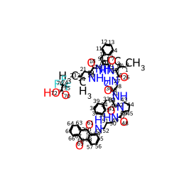 CC[C@H](C)[C@H](NC(=O)[C@H](Cc1ccccc1)NC(=O)[C@@H](N)CC(C)C)C(=O)NCC(=O)N[C@@H](Cc1ccccc1)C(=O)N1CCC[C@H]1C(=O)NCCCNc1cccc2c1C(=O)c1ccccc1C2=O.O=C(O)C(F)(F)F